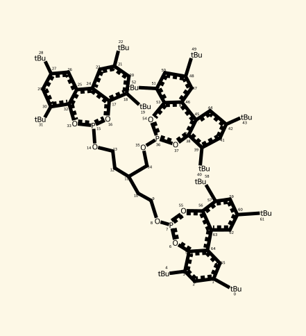 CC(C)(C)c1cc(C(C)(C)C)c2op(OCCC(CCOp3oc4c(C(C)(C)C)cc(C(C)(C)C)cc4c4cc(C(C)(C)C)cc(C(C)(C)C)c4o3)COp3oc4c(C(C)(C)C)cc(C(C)(C)C)cc4c4cc(C(C)(C)C)cc(C(C)(C)C)c4o3)oc3c(C(C)(C)C)cc(C(C)(C)C)cc3c2c1